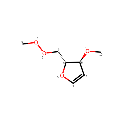 COOC[C@H]1OC=C[C@@H]1OC